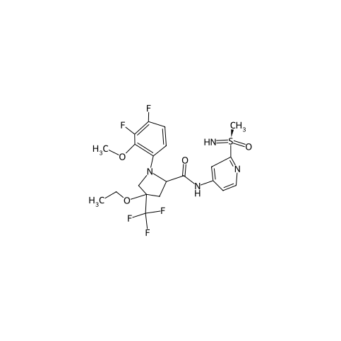 CCOC1(C(F)(F)F)CC(C(=O)Nc2ccnc([S@](C)(=N)=O)c2)N(c2ccc(F)c(F)c2OC)C1